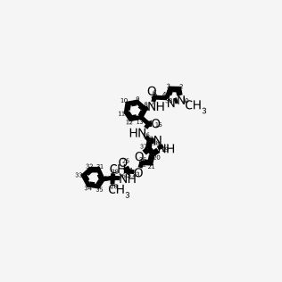 Cn1ccc(C(=O)Nc2ccccc2C(=O)Nc2n[nH]c3cc(OC(=O)NC(C)(C)c4ccccc4)oc23)n1